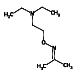 CCN(CC)CCON=C(C)C